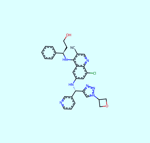 N#Cc1cnc2c(Cl)cc(N[C@@H](c3cccnc3)c3cn(C4COC4)nn3)cc2c1N[C@H](CCO)c1ccccc1